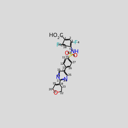 O=C(O)c1cc(F)c(NS(=O)(=O)c2ccc(-c3cnc(C4=CCOCC4)nc3)cc2)cc1F